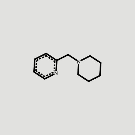 c1ccc(CN2CCCCC2)nc1